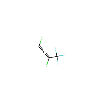 FC(F)(F)C(Cl)=C=CCl